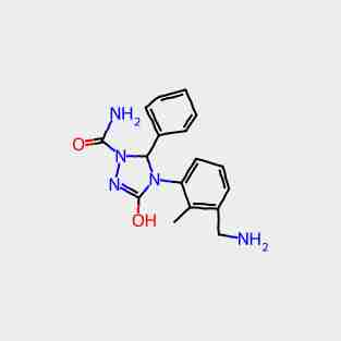 Cc1c(CN)cccc1N1C(O)=NN(C(N)=O)C1c1ccccc1